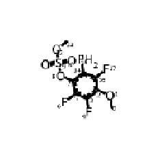 COc1c(F)c(F)c(OS(=O)(=O)OC)c(P)c1F